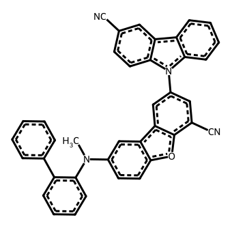 CN(c1ccc2oc3c(C#N)cc(-n4c5ccccc5c5cc(C#N)ccc54)cc3c2c1)c1ccccc1-c1ccccc1